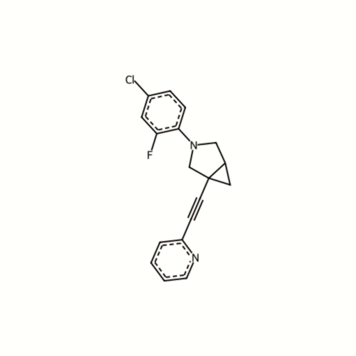 Fc1cc(Cl)ccc1N1CC2CC2(C#Cc2ccccn2)C1